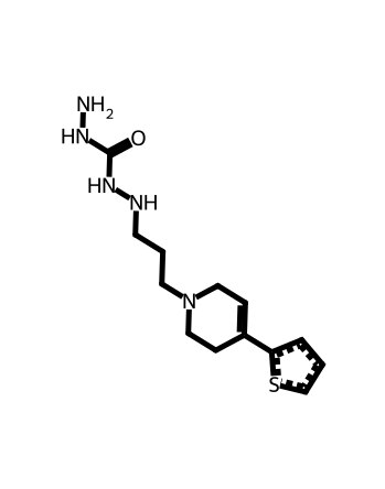 NNC(=O)NNCCCN1CC=C(c2cccs2)CC1